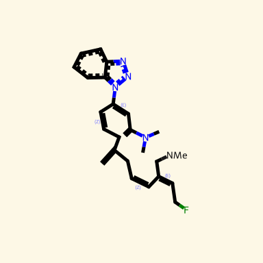 C=C(C/C=C\C(=C/CF)CNC)C/C=C\C(=C/C(=C)N(C)C)n1nnc2ccccc21